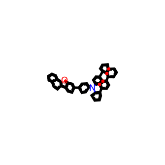 c1ccc(-c2ccc(-c3ccccc3N(c3ccc(-c4ccccc4)cc3)c3ccc(-c4ccc5c(c4)oc4c6ccccc6ccc54)cc3)cc2)cc1